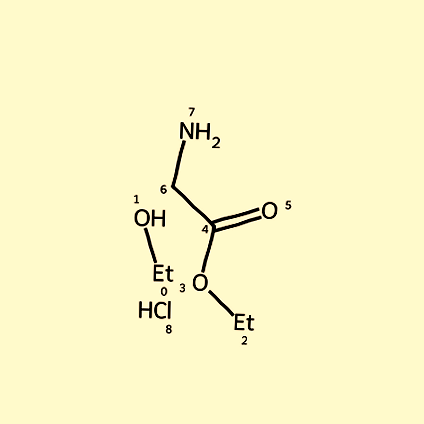 CCO.CCOC(=O)CN.Cl